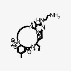 CCC1c2cc3nc(NCCN)c(C)c(n3n2)N(C)CCCCCN(S(C)(=O)=O)C2C=CC(C)=CC2(C)C(=O)N1C